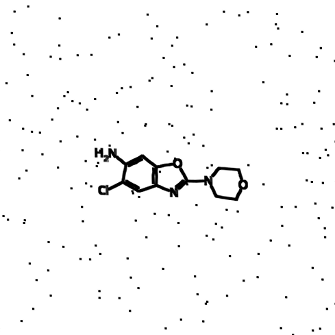 Nc1cc2oc(N3CCOCC3)nc2cc1Cl